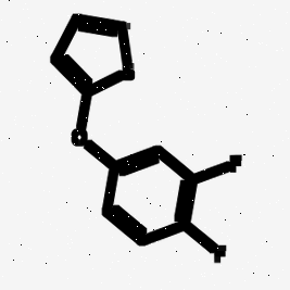 Fc1ccc(Oc2cc[c]s2)cc1F